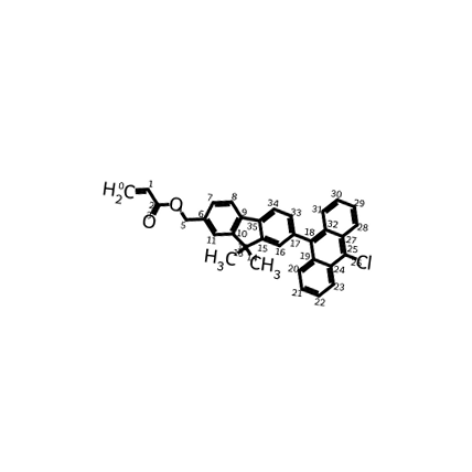 C=CC(=O)OCc1ccc2c(c1)C(C)(C)c1cc(-c3c4ccccc4c(Cl)c4ccccc34)ccc1-2